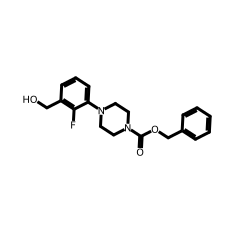 O=C(OCc1ccccc1)N1CCN(c2cccc(CO)c2F)CC1